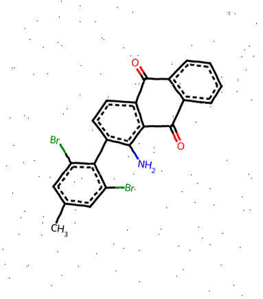 Cc1cc(Br)c(-c2ccc3c(c2N)C(=O)c2ccccc2C3=O)c(Br)c1